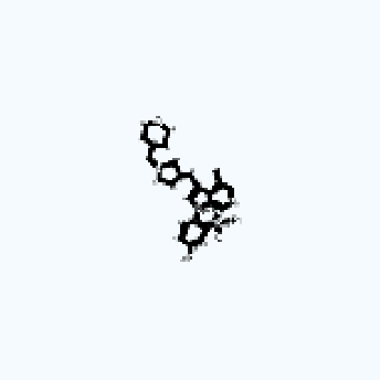 Cc1cncc2c1c(CC1CCN(CC3CCOCC3)C1)cn2-c1ccc(F)cc1S(=N)(=O)C(C)C